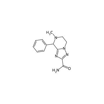 CN1CCn2nc(C(N)=O)nc2C1c1ccccc1